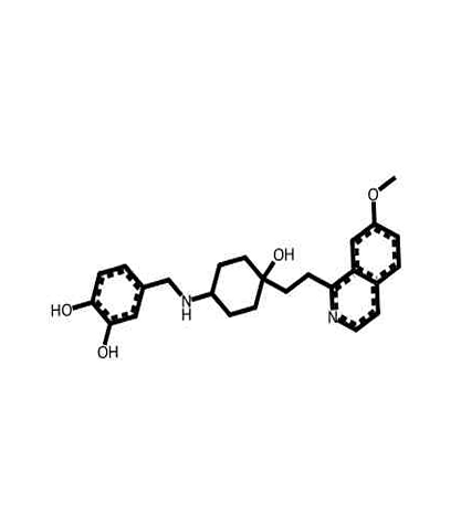 COc1ccc2ccnc(CCC3(O)CCC(NCc4ccc(O)c(O)c4)CC3)c2c1